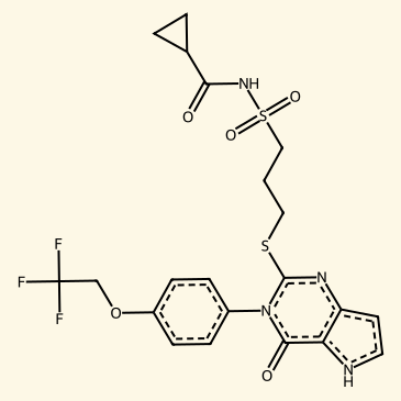 O=C(NS(=O)(=O)CCCSc1nc2cc[nH]c2c(=O)n1-c1ccc(OCC(F)(F)F)cc1)C1CC1